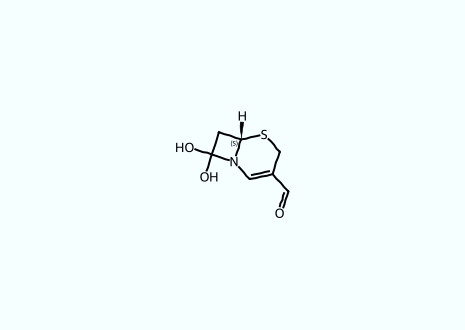 O=CC1=CN2[C@H](CC2(O)O)SC1